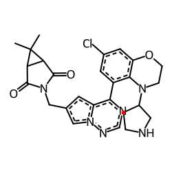 CC1(C)C2C(=O)N(Cc3cc4c(-c5cc(Cl)cc6c5N(C5CCNC5)CCO6)ncnn4c3)C(=O)C21